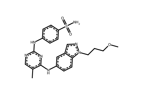 COCCCn1ncc2cc(Nc3nc(Nc4ccc(S(N)(=O)=O)cc4)ncc3C)ccc21